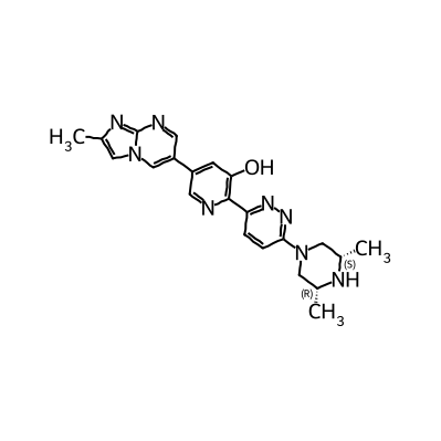 Cc1cn2cc(-c3cnc(-c4ccc(N5C[C@@H](C)N[C@@H](C)C5)nn4)c(O)c3)cnc2n1